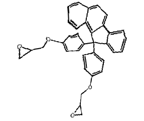 c1ccc2c(c1)-c1ccc3ccccc3c1C2(c1ccc(OCC2CO2)cc1)c1ccc(OCC2CO2)cc1